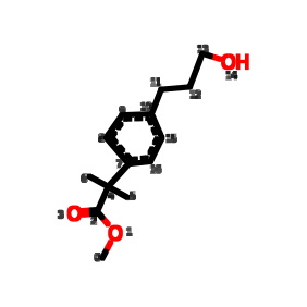 COC(=O)C(C)(C)c1ccc(CCCO)cc1